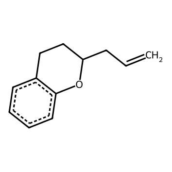 C=CCC1CCc2ccccc2O1